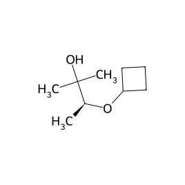 C[C@H](OC1CCC1)C(C)(C)O